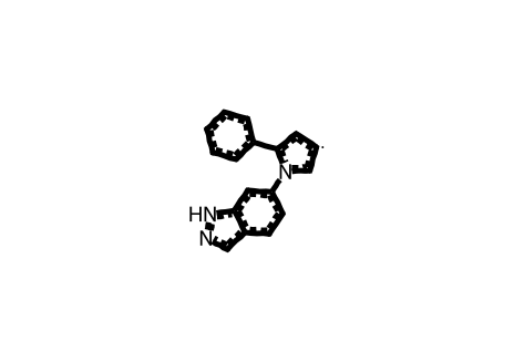 [c]1cc(-c2ccccc2)n(-c2ccc3cn[nH]c3c2)c1